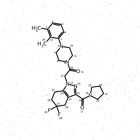 Cc1cccc(N2CCN(C(=O)Cn3nc(C(=O)N4CCCC4)c4c3CCC(F)(F)C4)CC2)c1C